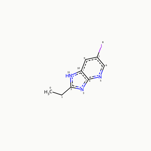 CCc1nc2ncc(I)cc2[nH]1